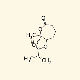 C=C(C)C(=O)OC1CCCC(=O)OC1(C)C